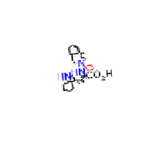 C[C@@H](c1c[nH]c2ccccc12)[C@@H](NC(=O)N1CCc2ccccc2CC1)C(=O)O